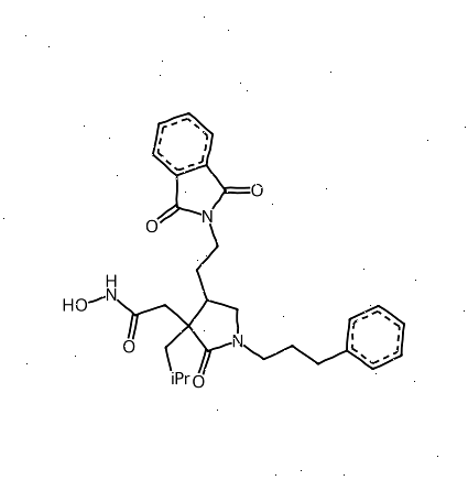 CC(C)CC1(CC(=O)NO)C(=O)N(CCCc2ccccc2)CC1CCN1C(=O)c2ccccc2C1=O